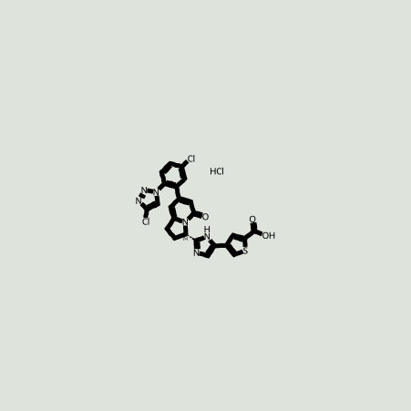 Cl.O=C(O)c1cc(-c2cnc([C@@H]3CCc4cc(-c5cc(Cl)ccc5-n5cc(Cl)nn5)cc(=O)n43)[nH]2)cs1